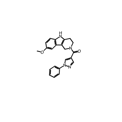 COc1ccc2[nH]c3c(c2c1)CN(C(=O)c1cnn(-c2ccccc2)c1)CC3